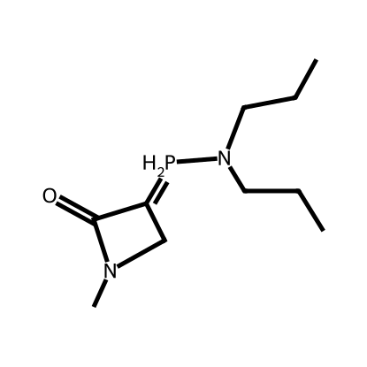 CCCN(CCC)/[PH2]=C1\CN(C)C1=O